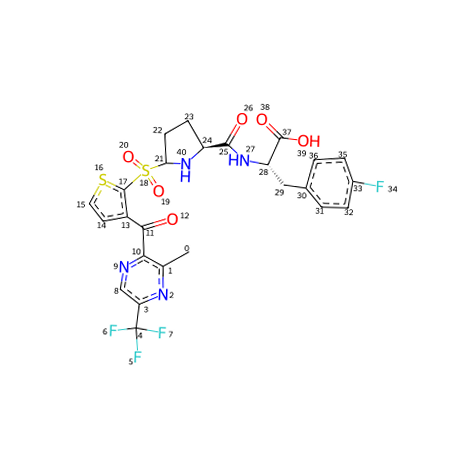 Cc1nc(C(F)(F)F)cnc1C(=O)c1ccsc1S(=O)(=O)C1CC[C@@H](C(=O)N[C@@H](Cc2ccc(F)cc2)C(=O)O)N1